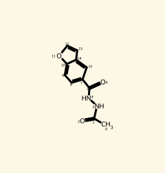 CC(=O)NNC(=O)c1ccc2occc2c1